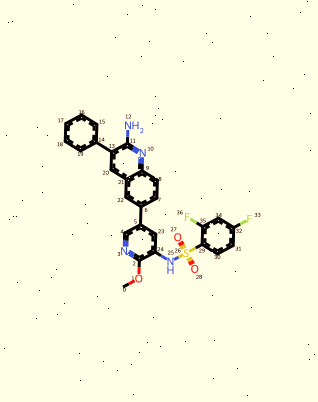 COc1ncc(-c2ccc3nc(N)c(-c4ccccc4)cc3c2)cc1NS(=O)(=O)c1ccc(F)cc1F